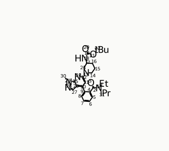 CCN(C(=O)c1ccccc1-c1cc(N2CCCC(NC(=O)OC(C)(C)C)C2)nc2c1cnn2C)C(C)C